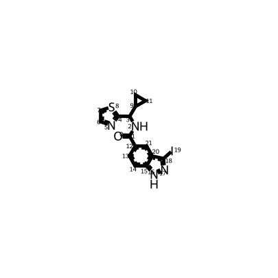 O=C(NC(c1nccs1)C1CC1)c1ccc2[nH]nc(I)c2c1